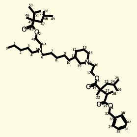 CCCCCN(CCCCCC1CCCN(CCOC(=O)C(C)(CC(C)C)C(C)C(=O)OCc2ccccc2)C1)CCOC(=O)C(C)(CC(C)C)C(C)C